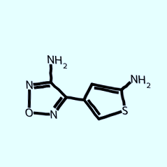 Nc1cc(-c2nonc2N)cs1